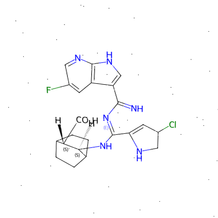 N=C(/N=C(/N[C@H]1C2CCC(CC2)[C@@H]1C(=O)O)C1=CC(Cl)CN1)c1c[nH]c2ncc(F)cc12